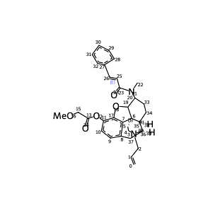 C=CCN1CC[C@]23c4c5ccc(OC(=O)COC)c4OC2C(N(C)C(=O)/C=C/c2ccccc2)CC[C@H]3[C@H]1C5